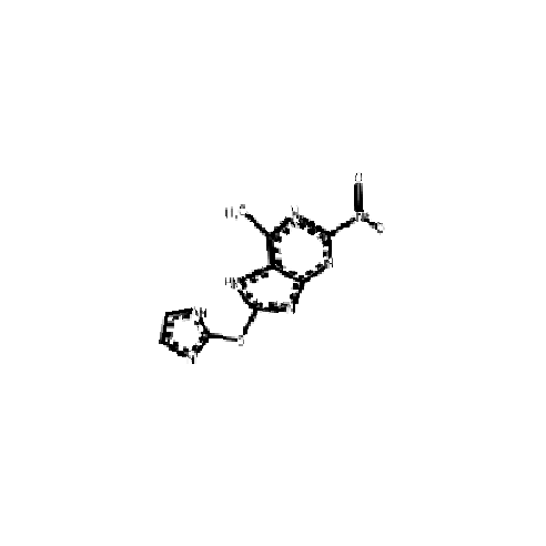 Cc1nc([N+](=O)[O-])nc2nc(Sc3ncc[nH]3)[nH]c12